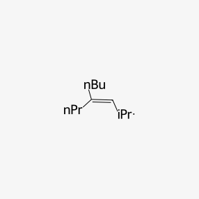 CCCCC(=C[C](C)C)CCC